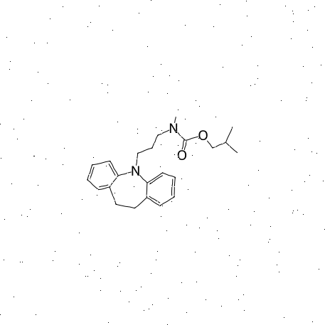 CC(C)COC(=O)N(C)CCCN1c2ccccc2CCc2ccccc21